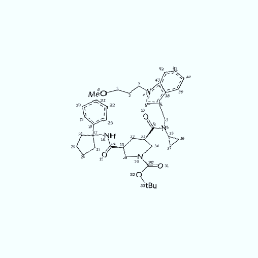 COCCCn1cc(CN(C(=O)[C@@H]2C[C@H](C(=O)NC3(c4ccccc4)CCCC3)CN(C(=O)OC(C)(C)C)C2)C2CC2)c2ccccc21